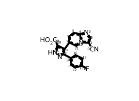 N#Cc1cnc2ccc(-c3c(-c4ccc(F)cc4)n[nH]c3C(=O)O)cn12